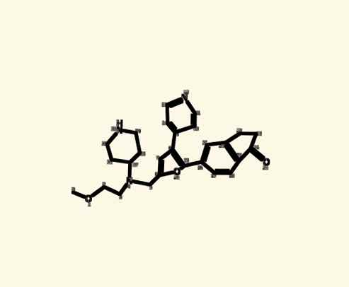 COCCN(Cc1cc(-c2ccncc2)c(-c2ccc3c(c2)CCC3=O)o1)C1CCNCC1